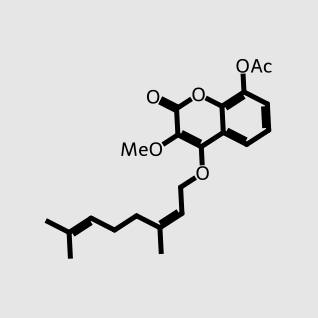 COc1c(OCC=C(C)CCC=C(C)C)c2cccc(OC(C)=O)c2oc1=O